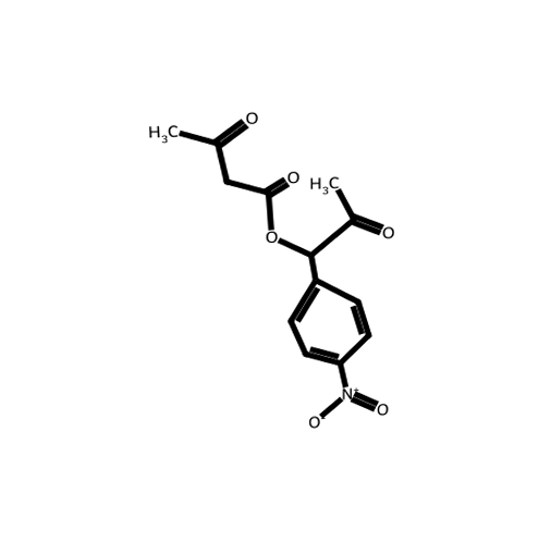 CC(=O)CC(=O)OC(C(C)=O)c1ccc([N+](=O)[O-])cc1